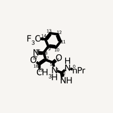 CCCNC(=N)NC(=O)c1c(-c2ccccc2C(F)(F)F)noc1C